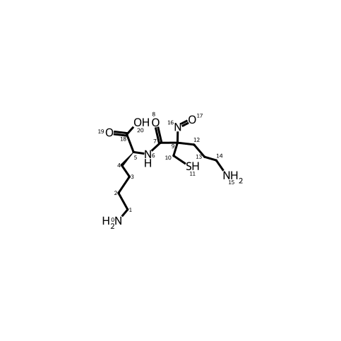 NCCCC[C@H](NC(=O)C(CS)(CCCN)N=O)C(=O)O